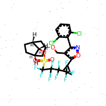 O=S(=O)(O[C@H]1[C@@H]2CC[C@H]1C[C@@H](OCc1c(-c3c(Cl)cccc3Cl)noc1C1CC1)C2)C(F)(F)C(F)(F)C(F)(F)C(F)(F)F